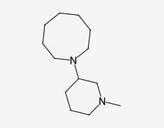 CN1CCCC(N2CCCCCCC2)C1